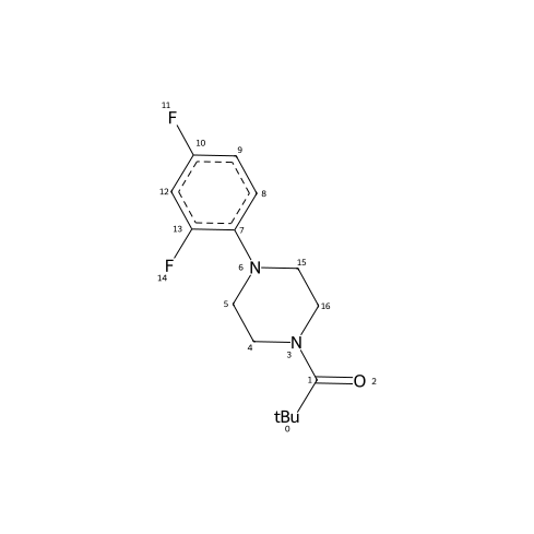 CC(C)(C)C(=O)N1CCN(c2ccc(F)cc2F)CC1